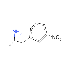 C[C@H](N)Cc1cccc([N+](=O)[O-])c1